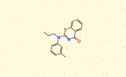 CCCN(c1cccc(C)c1)c1nc(=O)c2ccccc2s1